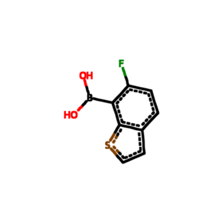 OB(O)c1c(F)ccc2ccsc12